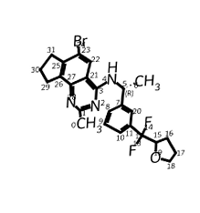 Cc1nc(N[C@H](C)c2cccc(C(F)(F)C3CCCO3)c2)c2cc(Br)c3c(c2n1)CCC3